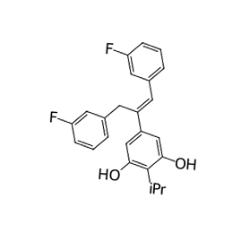 CC(C)c1c(O)cc(C(=Cc2cccc(F)c2)Cc2cccc(F)c2)cc1O